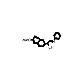 COc1ccc2cc(C(C)C=Nc3ccccc3)ccc2c1